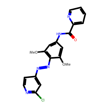 COc1cc(NC(=O)c2ccccn2)cc(OC)c1/N=N/c1ccnc(Cl)c1